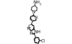 NC1CCN(c2ccc(-c3cnc4nc(-c5cccc(Cl)c5)[nH]c4c3)cn2)CC1